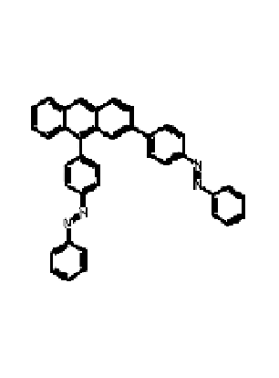 c1ccc(N=Nc2ccc(-c3ccc4cc5ccccc5c(-c5ccc(N=Nc6ccccc6)cc5)c4c3)cc2)cc1